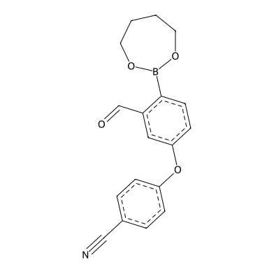 N#Cc1ccc(Oc2ccc(B3OCCCCO3)c(C=O)c2)cc1